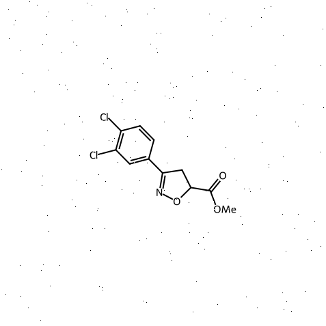 COC(=O)C1CC(c2ccc(Cl)c(Cl)c2)=NO1